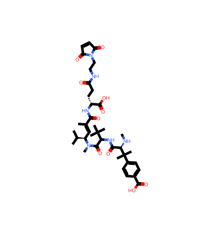 CN[C@H](C(=O)NC(C(=O)N(C)[C@H](/C=C(\C)C(=O)N[C@H](CCC(=O)NCCN1C(=O)C=CC1=O)C(=O)O)C(C)C)C(C)(C)C)C(C)(C)c1ccc(C(=O)O)cc1